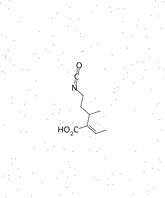 CC=C(C(=O)O)C(C)CCN=C=O